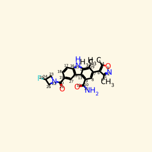 Cc1noc(C)c1-c1cc(C(N)=O)c2c([nH]c3ccc(C(=O)N4CC(F)C4)cc32)c1C